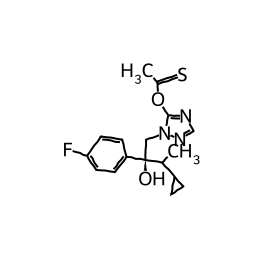 CC(=S)Oc1ncnn1C[C@@](O)(c1ccc(F)cc1)C(C)C1CC1